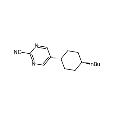 CCCC[C@H]1CC[C@H](c2cnc(C#N)nc2)CC1